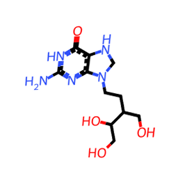 Nc1nc2c(c(=O)[nH]1)NCN2CCC(CO)C(O)CO